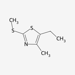 CCc1sc(SC)nc1C